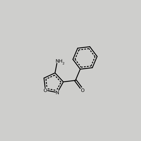 Nc1conc1C(=O)c1ccccc1